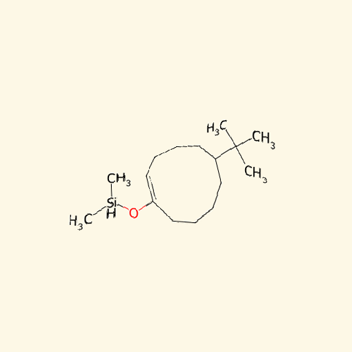 C[SiH](C)OC1=CCCCC(C(C)(C)C)CCCC1